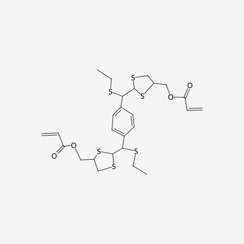 C=CC(=O)OCC1CSC(C(SCC)c2ccc(C(SCC)C3SCC(COC(=O)C=C)S3)cc2)S1